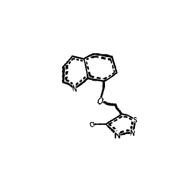 Clc1nnsc1COc1cccc2cccnc12